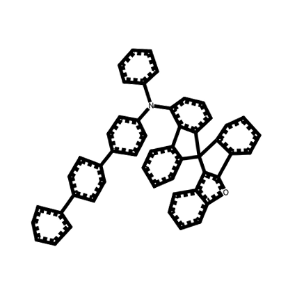 c1ccc(-c2ccc(-c3ccc(N(c4ccccc4)c4cccc5c4-c4ccccc4C54c5ccccc5-c5oc6ccccc6c54)cc3)cc2)cc1